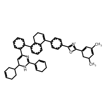 CC1=CC(C)CC(C2=[N+]=C(c3ccc(C4=CCCc5c4cccc5-c4ccccc4C4=CC(C5CC=CCC5)NC(C5=CCCC=C5)=N4)cc3)O2)=C1